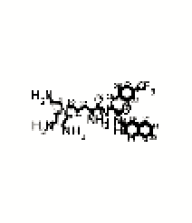 NCC[N+](CCN)(CCN)CCC[C@H](N)C(=O)N[C@H](Cc1ccc(C(F)(F)F)cc1)C(=O)Nc1cnc2ccccc2c1